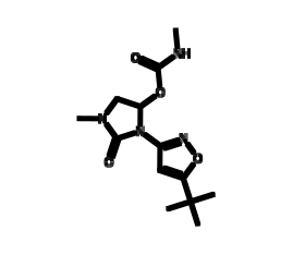 CNC(=O)OC1CN(C)C(=O)N1c1cc(C(C)(C)C)on1